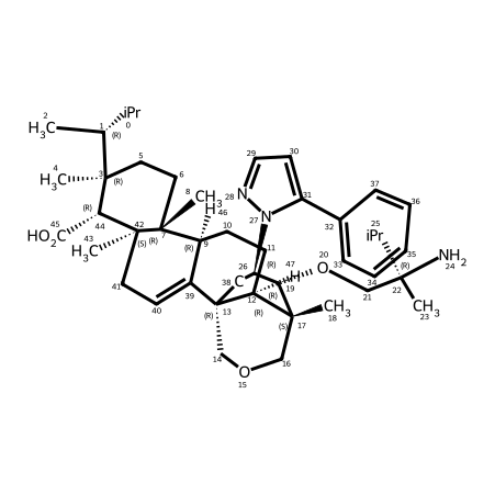 CC(C)[C@@H](C)[C@@]1(C)CC[C@]2(C)[C@H]3CC[C@@H]4[C@@]5(COC[C@@]4(C)[C@@H](OC[C@](C)(N)C(C)C)[C@H](n4nccc4-c4ccccc4)C5)C3=CC[C@@]2(C)[C@@H]1C(=O)O